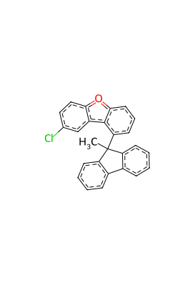 CC1(c2cccc3oc4ccc(Cl)cc4c23)c2ccccc2-c2ccccc21